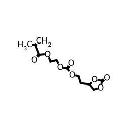 C=C(C)C(=O)OCCOC(=O)OCCC1COC(=O)O1